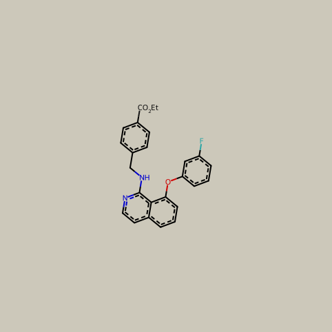 CCOC(=O)c1ccc(CNc2nccc3cccc(Oc4cccc(F)c4)c23)cc1